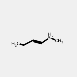 CC/C=C/[SiH2]C